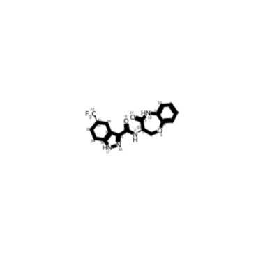 O=C(N[C@H]1COc2ccccc2NC1=O)c1n[nH]c2c1C[C@@H](C(F)(F)F)CC2